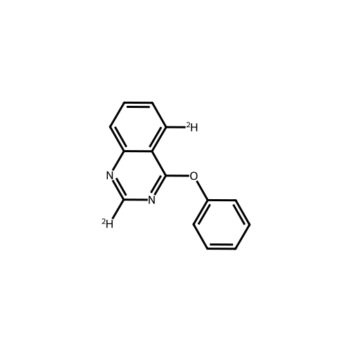 [2H]c1nc(Oc2ccccc2)c2c([2H])cccc2n1